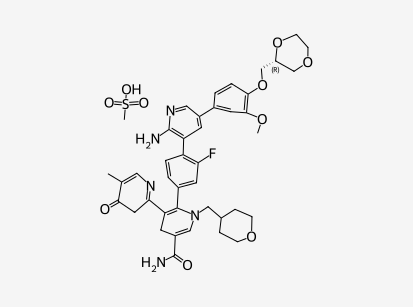 COc1cc(-c2cnc(N)c(-c3ccc(C4=C(C5=NC=C(C)C(=O)C5)CC(C(N)=O)=CN4CC4CCOCC4)cc3F)c2)ccc1OC[C@H]1COCCO1.CS(=O)(=O)O